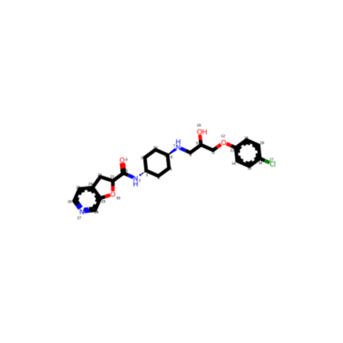 O=C(N[C@H]1CC[C@H](NCC(O)COc2ccc(Cl)cc2)CC1)C1Cc2ccncc2O1